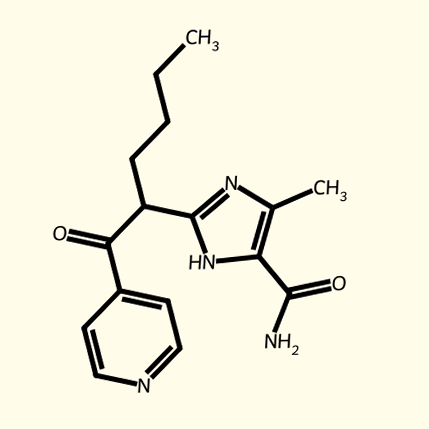 CCCCC(C(=O)c1ccncc1)c1nc(C)c(C(N)=O)[nH]1